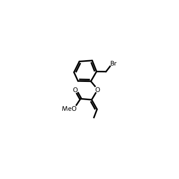 CC=C(Oc1ccccc1CBr)C(=O)OC